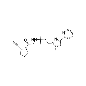 Cc1cc(-c2ccccn2)nn1CCC(C)(C)NCC(=O)N1CCCC1C#N